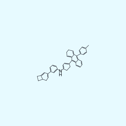 Cc1ccc(-c2c3c(c(C4=CC=C(Nc5cccc(C6=CCC7CCC7=C6)c5)CC4)c4ccccc24)=CCCC=3)cc1